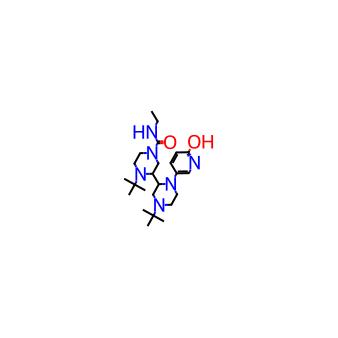 CCNC(=O)N1CCN(C(C)(C)C)C(C2CN(C(C)(C)C)CCN2c2ccc(O)nc2)C1